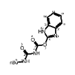 CCCCNC(=O)NC(=O)Oc1nc2ccccc2[nH]1